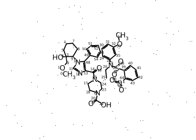 COC[C@]1(O)CCCC[C@H]1n1cnc(C(=O)N2CCN(C(=O)O)C[C@H]2CCN(c2cccc(OC)c2)S(=O)(=O)c2ccccc2[N+](=O)[O-])c1-c1ccccc1